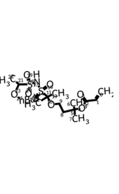 C=CC(=O)OC(C)(C)CCOC(C)(C)S(=O)(=O)NS(=O)(=O)C(C)OCCCC